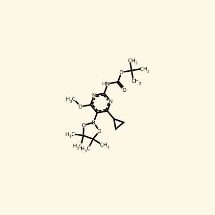 COc1nc(NC(=O)OC(C)(C)C)nc(C2CC2)c1B1OC(C)(C)C(C)(C)O1